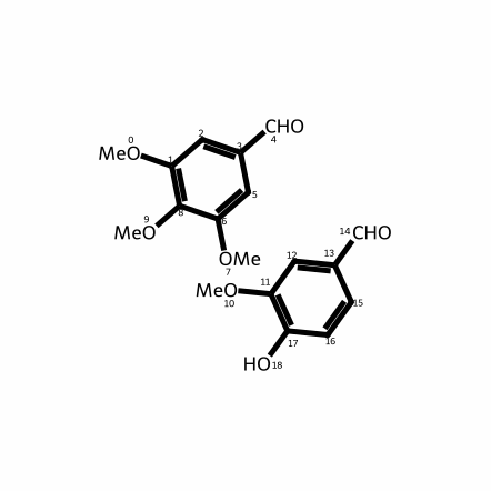 COc1cc(C=O)cc(OC)c1OC.COc1cc(C=O)ccc1O